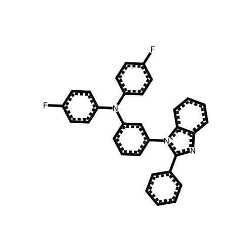 Fc1ccc(N(c2ccc(F)cc2)c2cccc(-n3c(-c4ccccc4)nc4ccccc43)c2)cc1